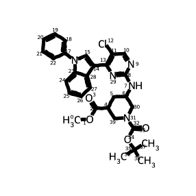 COC(=O)C1CC(Nc2ncc(Cl)c(-c3cn(-c4ccccc4)c4ccccc34)n2)CN(C(=O)OC(C)(C)C)C1